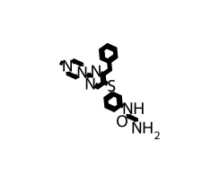 CN1CCN(c2ncc(Sc3cccc(NC(=O)CN)c3)c(Cc3ccccc3)n2)CC1